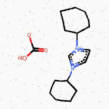 O=C([O-])O.c1c[n+](C2CCCCC2)cn1C1CCCCC1